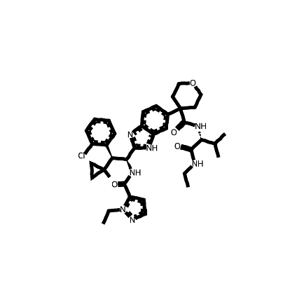 CCNC(=O)[C@H](NC(=O)C1(c2ccc3nc([C@@H](NC(=O)c4ccnn4CC)[C@H](c4ccccc4Cl)C4(C)CC4)[nH]c3c2)CCOCC1)C(C)C